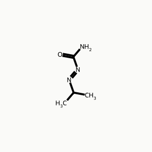 C[C](C)N=NC(N)=O